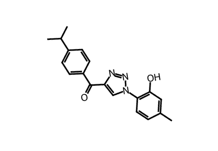 Cc1ccc(-n2cc(C(=O)c3ccc(C(C)C)cc3)nn2)c(O)c1